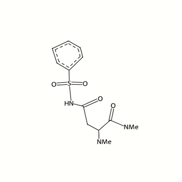 CNC(=O)C(CC(=O)NS(=O)(=O)c1ccccc1)NC